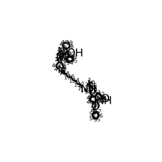 CC(C)(C)[Si](C)(C)O[C@@H](CNCCCCCCCCCN1CCC(Cn2cnc(C(O)(c3ccccc3)C3CCCCC3)n2)CC1)c1ccc(OCc2ccccc2)c2[nH]c(=O)ccc12